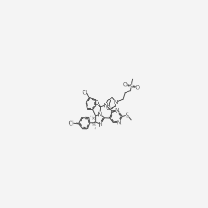 COc1nc(SC)ncc1C1=N[C@@](C)(c2ccc(Cl)cc2)[C@@](C)(c2ccc(Cl)cc2)N1C(=O)N1CCN(CCCS(C)(=O)=O)CC1